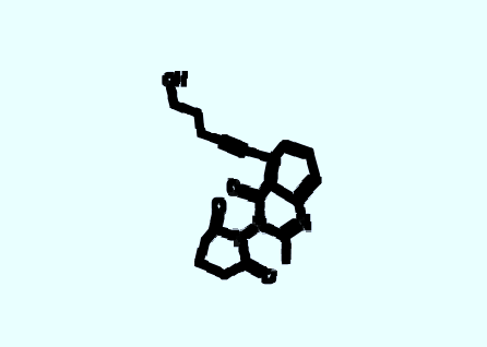 Cc1nc2cccc(C#CCCCO)c2c(=O)n1N1C(=O)CCCC1=O